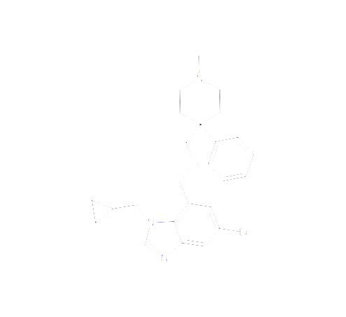 CN1CCC(COCc2cc(Br)cc3ncn(CC4CC4)c23)(c2ccccc2)CC1